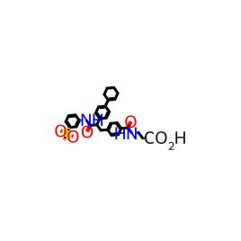 CS(=O)(=O)c1cccc(NC(=O)C(Cc2ccc(C(=O)NCCC(=O)O)cc2)c2ccc(C3=CCCCC3)cc2)c1